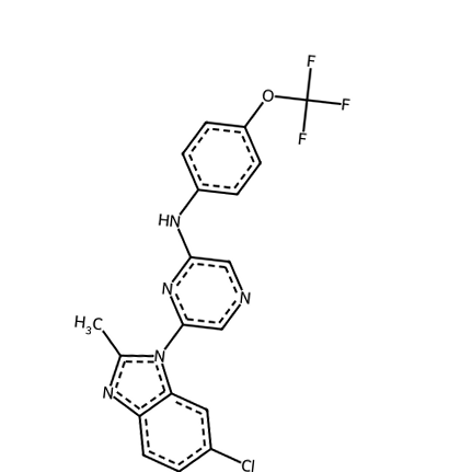 Cc1nc2ccc(Cl)cc2n1-c1cncc(Nc2ccc(OC(F)(F)F)cc2)n1